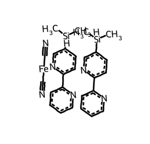 C[SiH](C)c1ccc(-c2ccccn2)nc1.C[SiH](C)c1ccc(-c2ccccn2)nc1.N#[C][Fe][C]#N